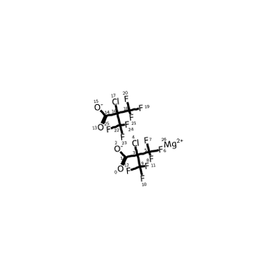 O=C([O-])C(Cl)(C(F)(F)F)C(F)(F)F.O=C([O-])C(Cl)(C(F)(F)F)C(F)(F)F.[Mg+2]